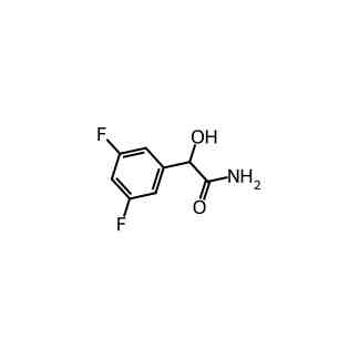 NC(=O)C(O)c1cc(F)cc(F)c1